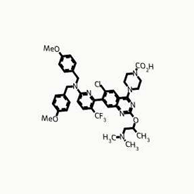 COc1ccc(CN(Cc2ccc(OC)cc2)c2ccc(C(F)(F)F)c(-c3cc4nc(OC(C)CN(C)C)nc(N5CCN(C(=O)O)CC5)c4cc3Cl)n2)cc1